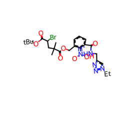 CCn1cc(CNC(=O)c2cccc(COC(=O)C(C)(C)CC(Br)C(=O)OC(C)(C)C)c2[NH+]([O-])O)nn1